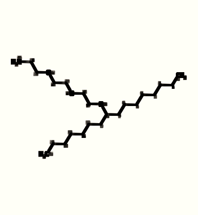 CCCCCCCCC(CCCCCCC)OCCOCCOCCN